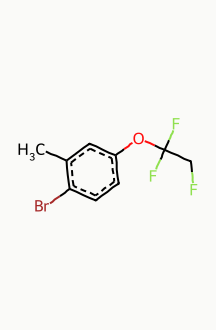 Cc1cc(OC(F)(F)CF)ccc1Br